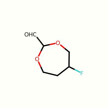 O=CC1OCCC(F)CO1